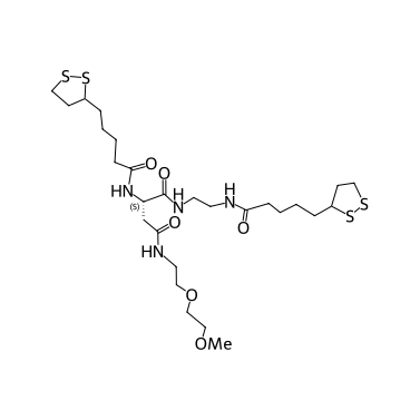 COCCOCCNC(=O)C[C@H](NC(=O)CCCCC1CCSS1)C(=O)NCCNC(=O)CCCCC1CCSS1